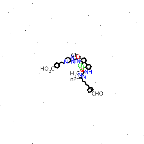 CCCc1c(CCCCC23CCC(C=O)(CC2)C3)nc(C(=O)Nc2cccc(-c3cccc(NC(=O)c4nc5c(n4C)CCN(CCc4ccc(C(=O)O)cc4)C5)c3Cl)c2Cl)n1C